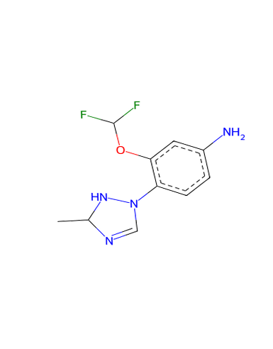 CC1N=CN(c2ccc(N)cc2OC(F)F)N1